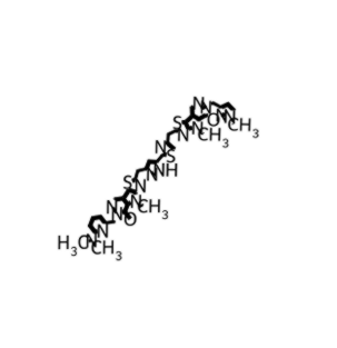 CN(C)c1cccc(Cn2ncc3c4sc(Cc5cc(-c6nc(Cc7nc8c(s7)c7cnn(Cc9ccn(C)n9)c(=O)c7n8C)cs6)[nH]n5)nc4n(C)c3c2=O)n1